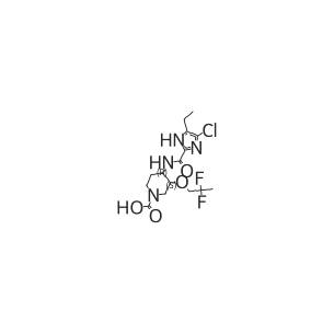 CCc1[nH]c(C(=O)N[C@@H]2CCN(C(=O)O)C[C@@H]2OCC(C)(F)F)nc1Cl